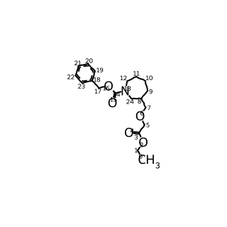 CCOC(=O)COCC1CCCCN(C(=O)OCc2ccccc2)C1